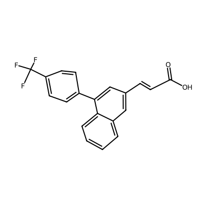 O=C(O)C=Cc1cc(-c2ccc(C(F)(F)F)cc2)c2ccccc2c1